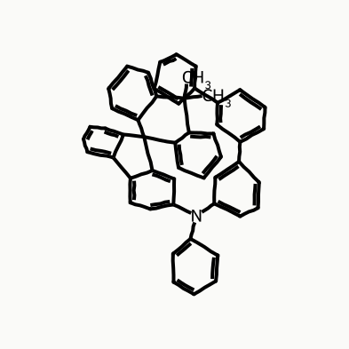 CC1(C)c2ccccc2C2(c3ccccc3-c3ccc(N(c4ccccc4)c4cccc(-c5cccc(-c6ccccc6)c5)c4)cc32)c2ccccc21